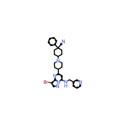 N#CC1(c2ccccc2)CCC(N2CCC(c3cc(NCc4cccnc4)n4ncc(Br)c4n3)CC2)CC1